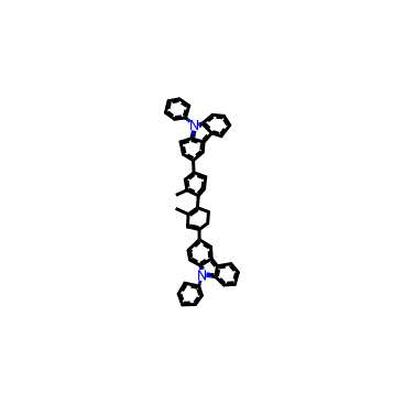 CC1=C(c2ccc(-c3ccc4c(c3)c3ccccc3n4-c3ccccc3)cc2C)CCC(c2ccc3c(c2)c2ccccc2n3-c2ccccc2)=C1